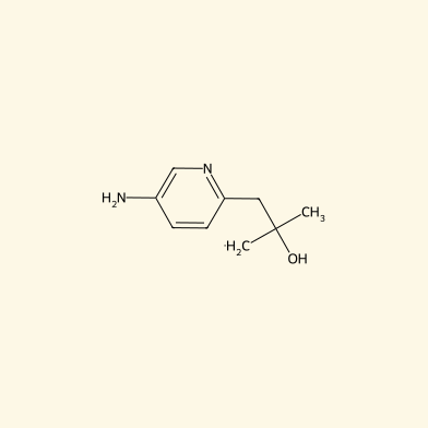 [CH2]C(C)(O)Cc1ccc(N)cn1